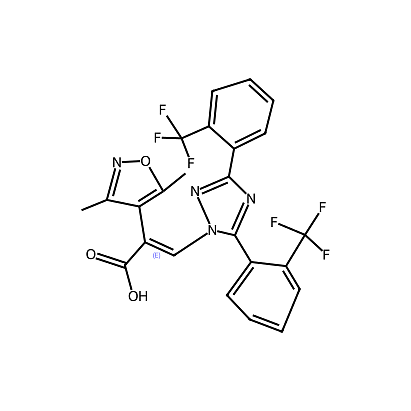 Cc1noc(C)c1/C(=C\n1nc(-c2ccccc2C(F)(F)F)nc1-c1ccccc1C(F)(F)F)C(=O)O